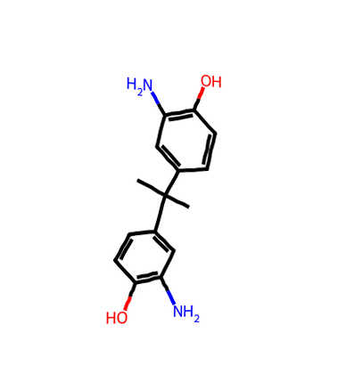 CC(C)(c1ccc(O)c(N)c1)c1ccc(O)c(N)c1